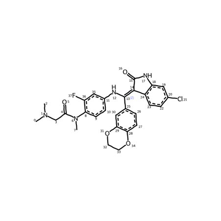 CN(C)CC(=O)N(C)c1ccc(N/C(=C2\C(=O)Nc3cc(Cl)ccc32)c2ccc3c(c2)OCCO3)cc1F